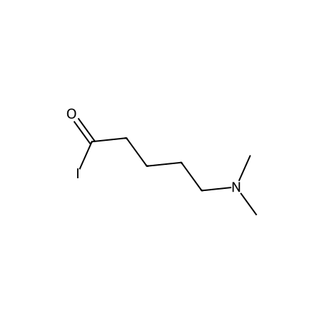 CN(C)CCCCC(=O)I